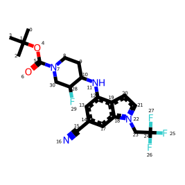 CC(C)(C)OC(=O)N1CCC(Nc2cc(C#N)cc3c2ccn3CC(F)(F)F)C(F)C1